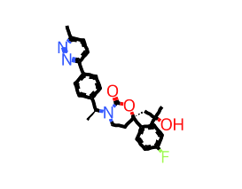 Cc1ccc(-c2ccc([C@H](C)N3CC[C@](CC(C)(C)O)(c4ccc(F)cc4)OC3=O)cc2)nn1